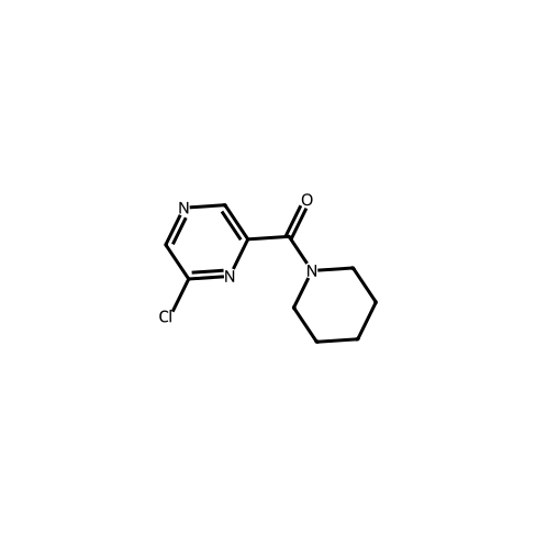 O=C(c1cncc(Cl)n1)N1CCCCC1